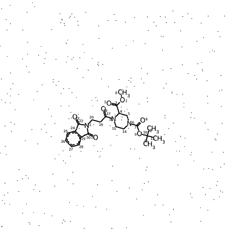 COC(=O)C1CN(C(=O)OC(C)(C)C)CCN1C(=O)CCN1C(=O)c2ccccc2C1=O